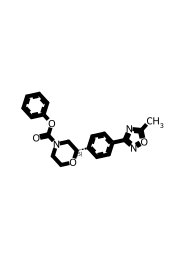 Cc1nc(-c2ccc([C@H]3CN(C(=O)Oc4ccccc4)CCO3)cc2)no1